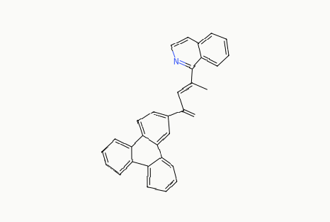 C=C(/C=C(\C)c1nccc2ccccc12)c1ccc2c3ccccc3c3ccccc3c2c1